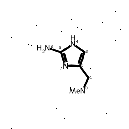 CNCc1c[nH]c(N)n1